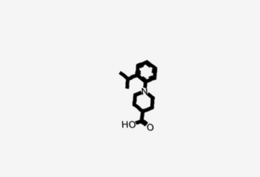 CC(C)c1ccccc1N1CCC(C(=O)O)CC1